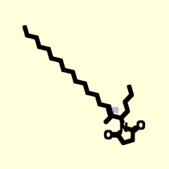 CCCCCCCCCCCCCC/C=C(\C)C(CCCC)N1C(=O)CCC1=O